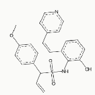 C=CC(c1ccc(OC)cc1)S(=O)(=O)Nc1c(O)cccc1C=Cc1ccncc1